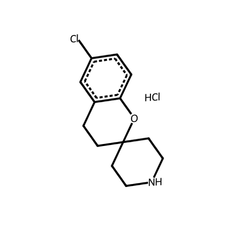 Cl.Clc1ccc2c(c1)CCC1(CCNCC1)O2